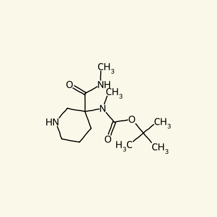 CNC(=O)C1(N(C)C(=O)OC(C)(C)C)CCCNC1